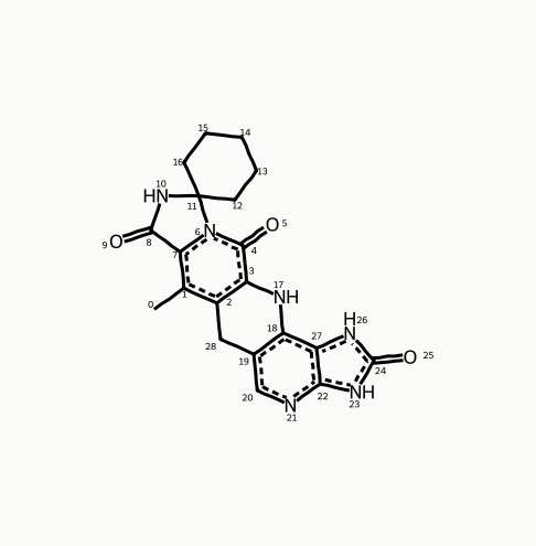 Cc1c2c(c(=O)n3c1C(=O)NC31CCCCC1)Nc1c(cnc3[nH]c(=O)[nH]c13)C2